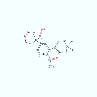 CC1(C)CC=C(c2cc(C3(C=O)CCOCC3)ccc2C(N)=O)CC1